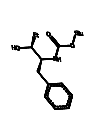 CC[C@H](O)[C@H](Cc1ccccc1)NC(=O)OC(C)(C)C